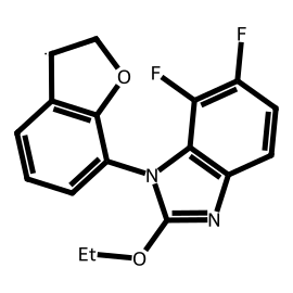 CCOc1nc2ccc(F)c(F)c2n1-c1cccc2c1OC[CH]2